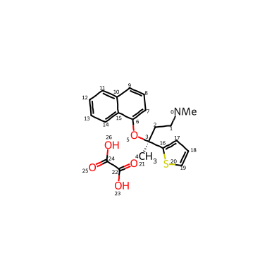 CNCC[C@](C)(Oc1cccc2ccccc12)c1cccs1.O=C(O)C(=O)O